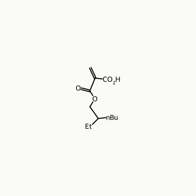 C=C(C(=O)O)C(=O)OCC(CC)CCCC